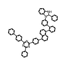 c1ccc(-c2ccc(-c3nc(-c4ccccc4)nc(-c4ccc(-c5cccc6c(-c7ccccc7-c7cccc(N8c9ccccc9NC8c8ccccc8)c7)cccc56)cc4)n3)cc2)cc1